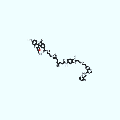 O=C(CCC1(CCc2cn(CCCNC(=O)c3ccc4c(c3)C3(OC4=O)c4ccc(O)cc4Oc4cc(O)ccc43)nn2)N=N1)Nc1ccc2[nH]c(CCNCCc3nc4c(NCc5ncccc5F)ncnc4s3)nc2c1